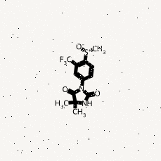 C[S+]([O-])c1ccc(N2C(=O)NC(C)(C)C2=O)cc1C(F)(F)F